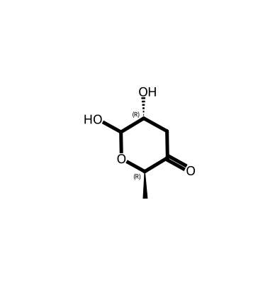 C[C@H]1OC(O)[C@H](O)CC1=O